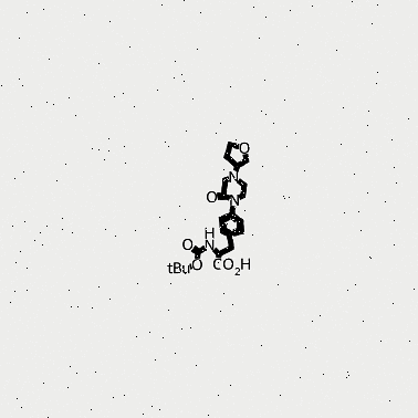 CC(C)(C)OC(=O)NC(Cc1ccc(N2CCN(C3CCOC3)CC2=O)cc1)C(=O)O